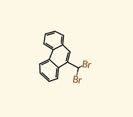 BrC(Br)c1cc2ccccc2c2ccccc12